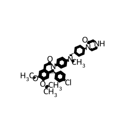 COc1cc2c(cc1OC(C)C)[C@H](c1ccc(Cl)cc1)N(c1ccc(N(C)C[C@H]3CC[C@H](N4CCNCC4=O)CC3)cc1)C(=O)C2